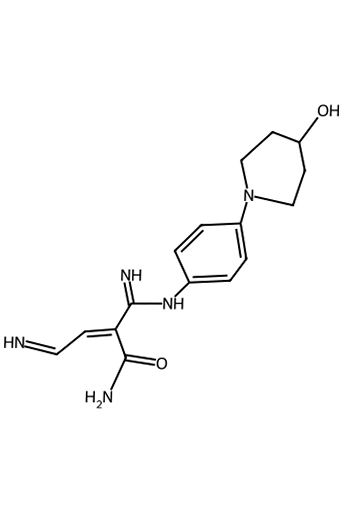 N=C/C=C(/C(=N)Nc1ccc(N2CCC(O)CC2)cc1)C(N)=O